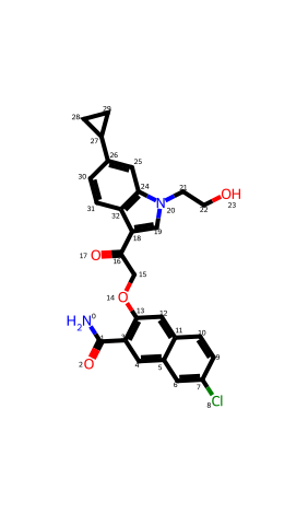 NC(=O)c1cc2cc(Cl)ccc2cc1OCC(=O)c1cn(CCO)c2cc(C3CC3)ccc12